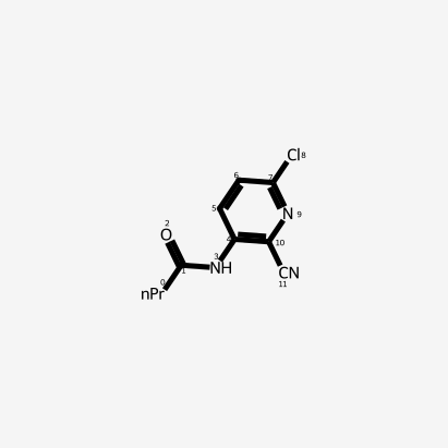 CCCC(=O)Nc1ccc(Cl)nc1C#N